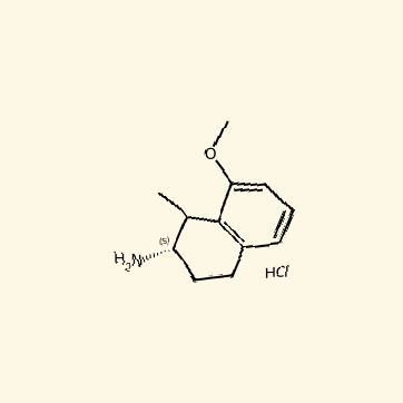 COc1cccc2c1C(C)[C@@H](N)CC2.Cl